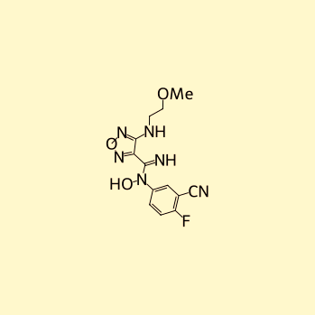 COCCNc1nonc1C(=N)N(O)c1ccc(F)c(C#N)c1